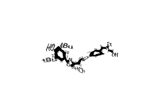 CCN(CCO)Cc1ccc(OCCc2coc(-c3cc(C(C)(C)C)c(O)c(C(C)(C)C)c3)n2)cc1.Cl